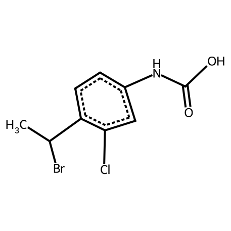 CC(Br)c1ccc(NC(=O)O)cc1Cl